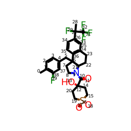 Cc1ccc(CC23CCN(C(=O)C4(O)CCS(=O)(=O)CC4)C2CCc2cc(C(C)(F)C(F)(F)F)ccc23)cc1F